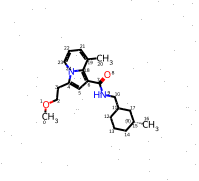 COCCc1cc(C(=O)NCC2CCC[C@@H](C)C2)c2c(C)cccn12